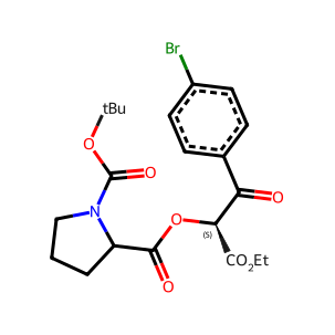 CCOC(=O)[C@@H](OC(=O)C1CCCN1C(=O)OC(C)(C)C)C(=O)c1ccc(Br)cc1